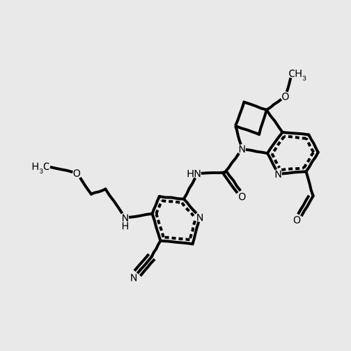 COCCNc1cc(NC(=O)N2c3nc(C=O)ccc3C3(OC)CC2C3)ncc1C#N